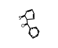 O=C(c1ccccc1)C1C=CC=[C]C1=S